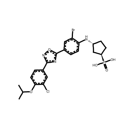 CC(C)Oc1ccc(-c2noc(-c3ccc(N[C@@H]4CC[C@@H](P(=O)(O)O)C4)c(Br)c3)n2)cc1Cl